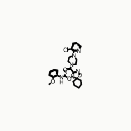 COc1ccccc1NC(=S)ON1C(C(=O)N2CCN(c3ncccc3Cl)CC2)=NOC12CCCCC2